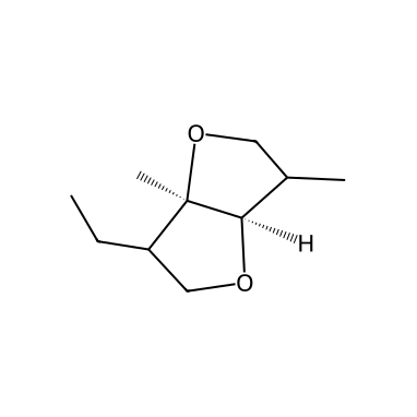 CCC1CO[C@@H]2C(C)CO[C@]12C